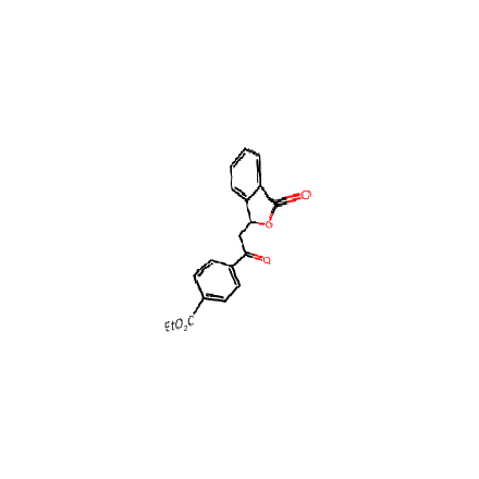 CCOC(=O)c1ccc(C(=O)CC2OC(=O)c3ccccc32)cc1